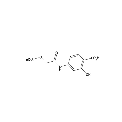 CCCCCCCCOCC(=O)Nc1ccc(C(=O)O)c(O)c1